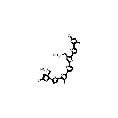 Cc1cc(Cl)sc1-c1ccc(-c2sc(-c3ccc(-c4cc(C)c(-c5ccc(-c6sc(Cl)cc6CC(=O)O)s5)s4)s3)cc2CC(=O)O)s1